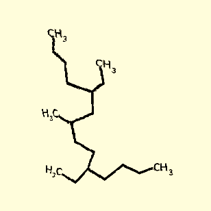 CCCCC(CC)CC[C](C)CC(CC)CCCC